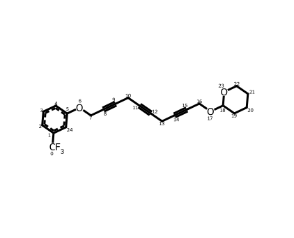 FC(F)(F)c1cccc(OCC#CCC#CCC#CCOC2CCCCO2)c1